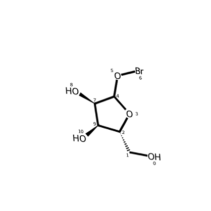 OC[C@H]1OC(OBr)[C@H](O)[C@@H]1O